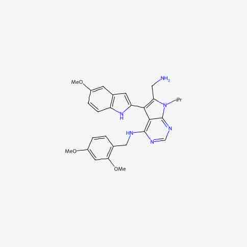 COc1ccc(CNc2ncnc3c2c(-c2cc4cc(OC)ccc4[nH]2)c(CN)n3C(C)C)c(OC)c1